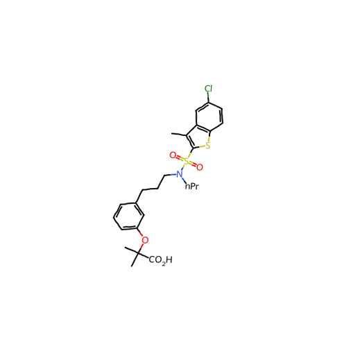 CCCN(CCCc1cccc(OC(C)(C)C(=O)O)c1)S(=O)(=O)c1sc2ccc(Cl)cc2c1C